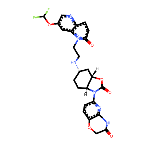 O=C1COc2ccc(N3C(=O)O[C@H]4C[C@@H](NCCn5c(=O)ccc6ncc(OC(F)F)cc65)CC[C@@H]43)nc2N1